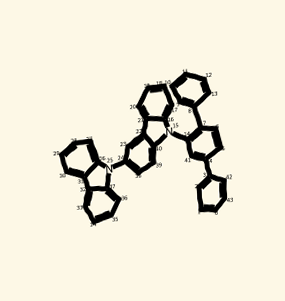 c1ccc(-c2ccc(-c3ccccc3)c(-n3c4ccccc4c4cc(-n5c6ccccc6c6ccccc65)ccc43)c2)cc1